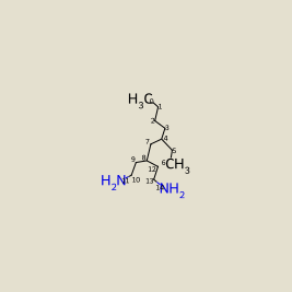 CCCCC(CC)CC(CCN)CCN